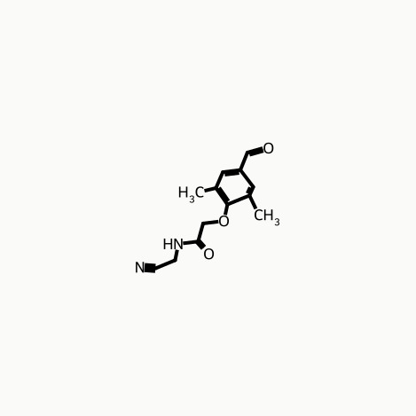 Cc1cc(C=O)cc(C)c1OCC(=O)NCC#N